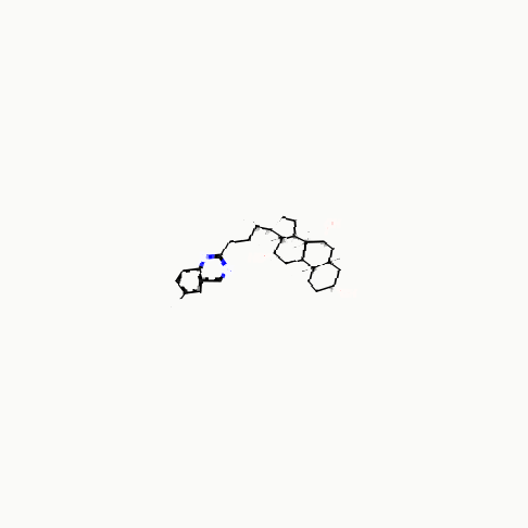 Cc1ccc2nc(CC[C@@H](C)[C@H]3CC[C@H]4[C@H]5C(C[C@H](O)[C@]34C)[C@@]3(C)CC[C@@H](O)C[C@H]3C[C@H]5O)ncc2c1